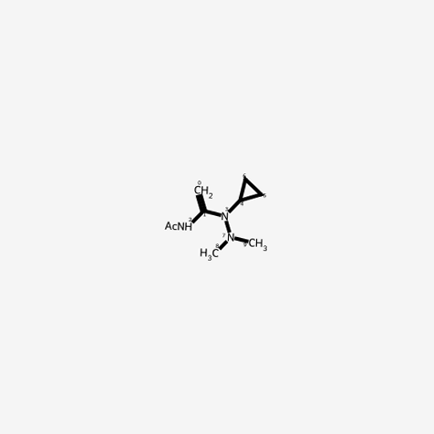 C=C(NC(C)=O)N(C1CC1)N(C)C